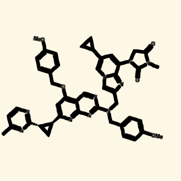 COc1ccc(COc2cc([C@H]3C[C@@H]3c3nccc(C)n3)nc3nc(N(Cc4ccc(OC)cc4)Cc4cn5cc(C6CC6)cc(N6CC(=O)N(C)C6=O)c5n4)ncc23)cc1